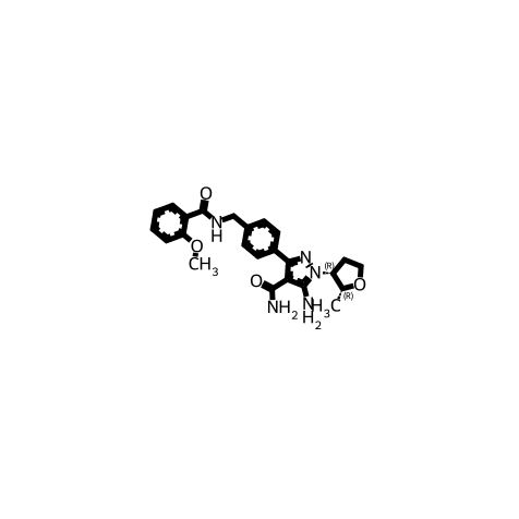 COc1ccccc1C(=O)NCc1ccc(-c2nn([C@@H]3CCO[C@@H]3C)c(N)c2C(N)=O)cc1